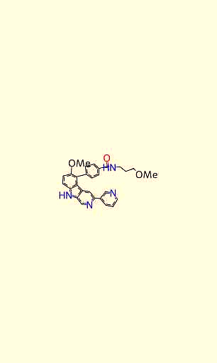 COCCCNC(=O)c1ccc(-c2c(OC)ccc3[nH]c4cnc(-c5cccnc5)cc4c23)cc1